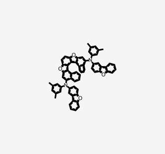 Cc1cc(C)cc(N(c2ccc3oc4ccccc4c3c2)c2cc3oc4ccc5oc6cc(N(c7cc(C)cc(C)c7)c7ccc8oc9ccccc9c8c7)c7ccccc7c6c5c4c3c3ccccc23)c1